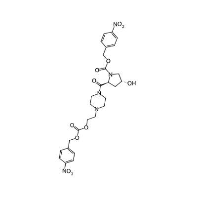 O=C(OCCN1CCN(C(=O)[C@@H]2C[C@@H](O)CN2C(=O)OCc2ccc([N+](=O)[O-])cc2)CC1)OCc1ccc([N+](=O)[O-])cc1